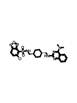 CN(C)c1nc(NC[C@H]2CC[C@H](CNS(=O)(=O)c3c(Cl)ccc4nonc34)CC2)nc2ccccc12